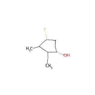 CC1C(C)[C@@H](O)C[C@H]1F